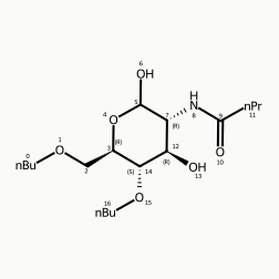 CCCCOC[C@H]1OC(O)[C@H](NC(=O)CCC)[C@@H](O)[C@@H]1OCCCC